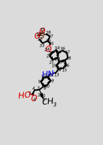 CC#C[C@@H](CC(=O)O)c1ccc(NCc2ccc3c(c2)-c2ccc(OCC4CCS(=O)(=O)CC4)cc2CCC3)cc1